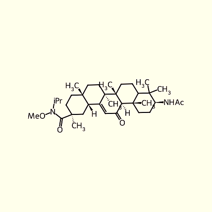 CON(C(=O)[C@@]1(C)CC[C@]2(C)CC[C@]3(C)C(=CC(=O)[C@@H]4[C@@]5(C)CC[C@H](NC(C)=O)C(C)(C)C5CC[C@]43C)[C@@H]2C1)C(C)C